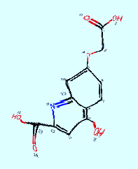 O=C(O)COc1ccc2c(O)cc(C(=O)O)nc2c1